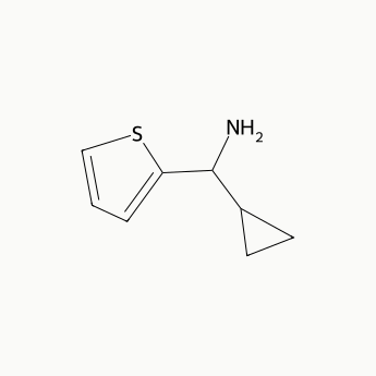 NC(c1cccs1)C1CC1